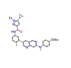 CCn1nc(C(=O)Nc2ccc(C)c(-c3cnc4cc(N(C)c5ccc(OC)cc5)ncc4c3)c2)cc1C1CC1